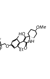 CCc1cc(OCC(C)(F)F)cc(C)c1C1=C(O)[C@]2(CC[C@H](OC)CC2)NC1=O